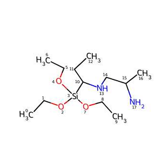 CCO[Si](OCC)(OCC)C(CC)NCC(C)N